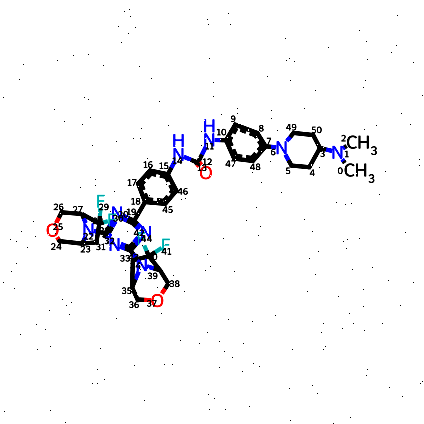 CN(C)C1CCN(c2ccc(NC(=O)Nc3ccc(-c4nc(N5C6COCC5C(F)(F)C6)nc(N5C6COCC5C(F)(F)C6)n4)cc3)cc2)CC1